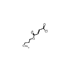 CCCCOC(=O)C=CC(=O)Cl